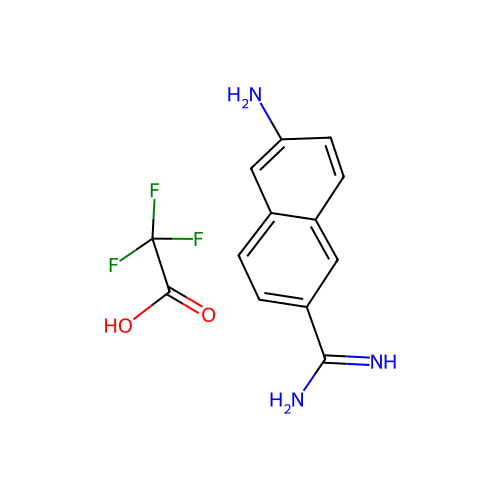 N=C(N)c1ccc2cc(N)ccc2c1.O=C(O)C(F)(F)F